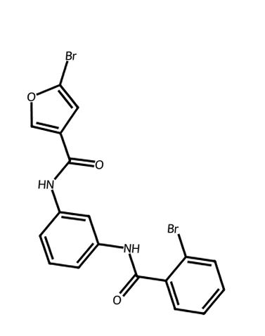 O=C(Nc1cccc(NC(=O)c2ccccc2Br)c1)c1coc(Br)c1